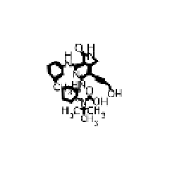 Cc1cccc(Nc2nc(N[C@@H]3CCCC[C@@H]3N(C(=O)O)C(C)(C)C)c(C#CCO)c3c2C(=O)NC3)c1